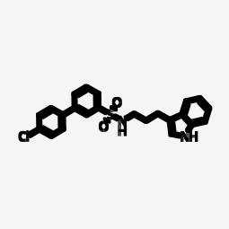 O=S(=O)(NCCCc1c[nH]c2ccccc12)c1cccc(-c2ccc(Cl)cc2)c1